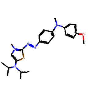 COc1ccc(N(C)c2ccc(/N=N/c3sc(N(C(C)C)C(C)C)c[n+]3C)cc2)cc1